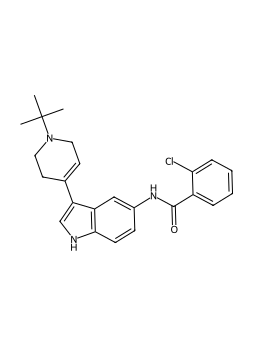 CC(C)(C)N1CC=C(c2c[nH]c3ccc(NC(=O)c4ccccc4Cl)cc23)CC1